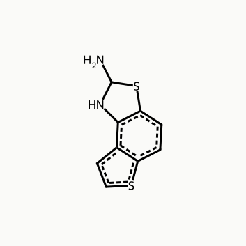 NC1Nc2c(ccc3sccc23)S1